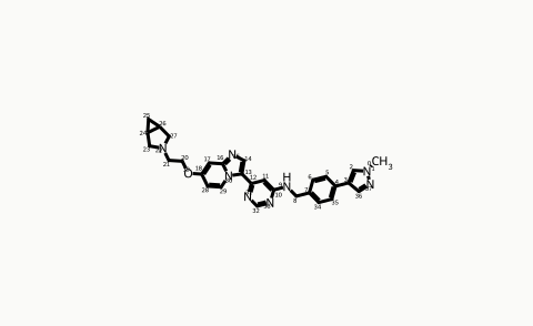 Cn1cc(-c2ccc(CNc3cc(-c4cnc5cc(OCCN6CC7CC7C6)ccn45)ncn3)cc2)cn1